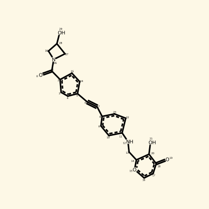 O=C(c1ccc(C#Cc2ccc(NCc3occc(=O)c3O)cc2)cc1)N1CC(O)C1